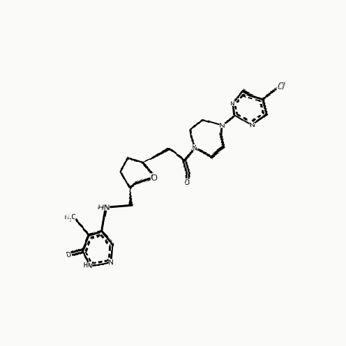 Cc1c(NC[C@H]2CC[C@@H](CC(=O)N3CCN(c4ncc(Cl)cn4)CC3)O2)cn[nH]c1=O